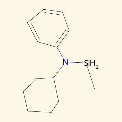 C[SiH2]N(c1ccccc1)C1CCCCC1